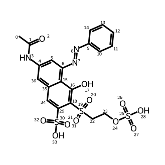 CC(=O)Nc1cc(N=Nc2ccccc2)c2c(O)c(S(=O)(=O)CCOS(=O)(=O)O)c(S(=O)(=O)O)cc2c1